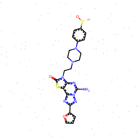 C[S@@+]([O-])c1ccc(N2CCN(CCn3c(=O)sc4c3nc(N)n3nc(-c5ccco5)nc43)CC2)cc1